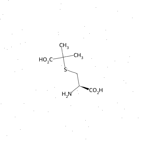 CC(C)(SC[C@H](N)C(=O)O)C(=O)O